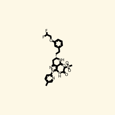 Cc1ccc(-n2nc3c(c2NC(=O)CS(C)(=O)=O)C(=O)N[C@@H](CCc2cccc(OCC(F)F)c2)C3)nc1